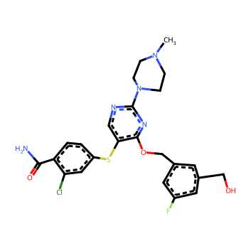 CN1CCN(c2ncc(Sc3ccc(C(N)=O)c(Cl)c3)c(OCc3cc(F)cc(CO)c3)n2)CC1